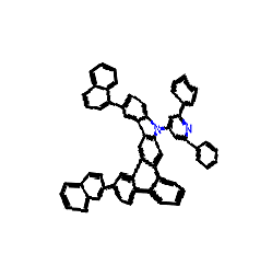 c1ccc(-c2cc(-n3c4ccc(-c5cccc6ccccc56)cc4c4cc5c6cc(-c7ccc8ccccc8c7)ccc6c6ccccc6c5cc43)cc(-c3ccccc3)n2)cc1